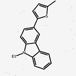 CCn1c2ccccc2c2cc(-c3ccc(C)s3)ccc21